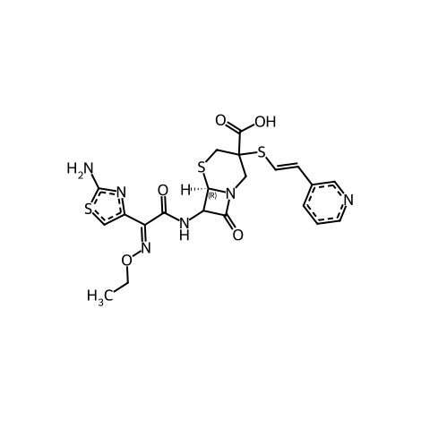 CCON=C(C(=O)NC1C(=O)N2CC(SC=Cc3cccnc3)(C(=O)O)CS[C@H]12)c1csc(N)n1